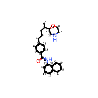 CC(CCCc1ccc(C(=O)Nc2cccc3ccccc23)cc1)C1CNCCO1